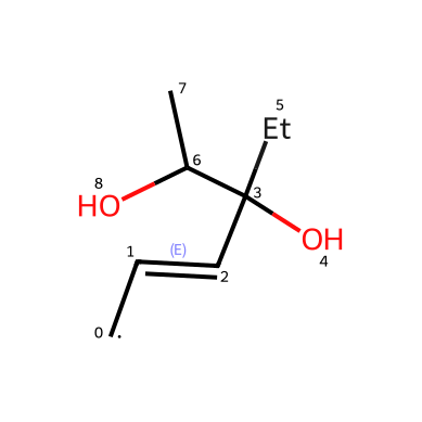 [CH2]/C=C/C(O)(CC)C(C)O